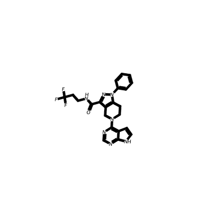 O=C(NCCC(F)(F)F)c1nn(-c2ccccc2)c2c1CN(c1ncnc3[nH]ccc13)CC2